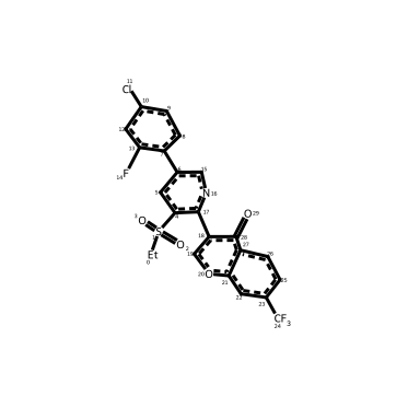 CCS(=O)(=O)c1cc(-c2ccc(Cl)cc2F)cnc1-c1coc2cc(C(F)(F)F)ccc2c1=O